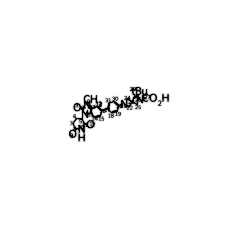 Cn1c(=O)n(C2CCC(=O)NC2=O)c2ccc(-c3ccc(N4CC5(C4)CN(C(=O)O)C5C(C)(C)C)cc3)cc21